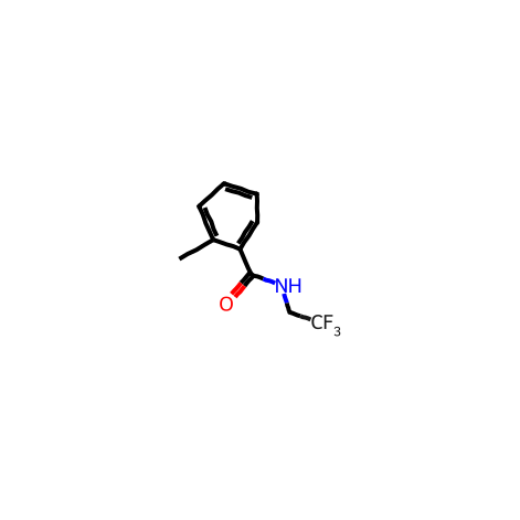 Cc1ccccc1C(=O)NCC(F)(F)F